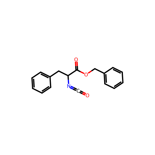 O=C=NC(Cc1ccccc1)C(=O)OCc1ccccc1